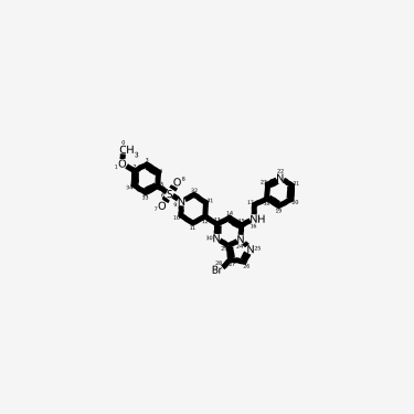 COc1ccc(S(=O)(=O)N2CCC(c3cc(NCc4cccnc4)n4ncc(Br)c4n3)CC2)cc1